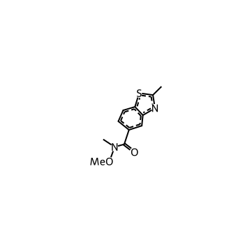 CON(C)C(=O)c1ccc2sc(C)nc2c1